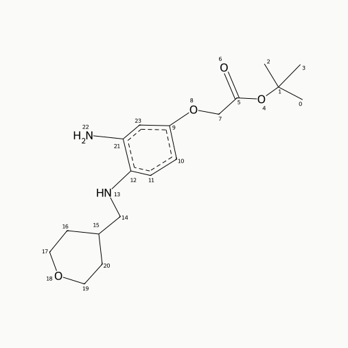 CC(C)(C)OC(=O)COc1ccc(NCC2CCOCC2)c(N)c1